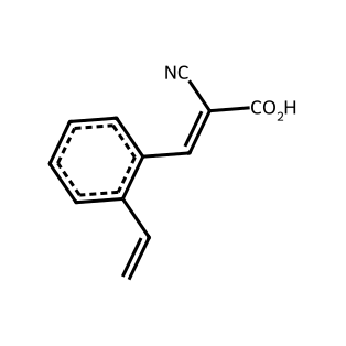 C=Cc1ccccc1/C=C(\C#N)C(=O)O